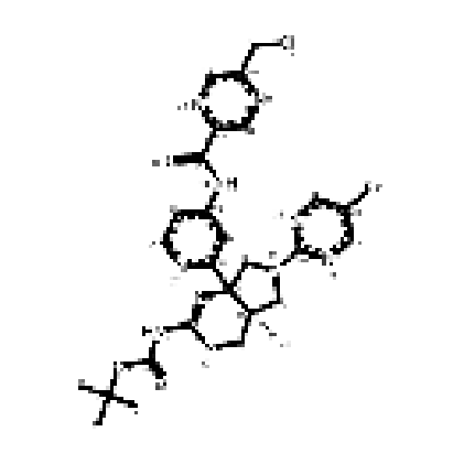 CC(C)(C)OC(=O)NC1=NC2(c3cc(NC(=O)c4cnc(CO)cn4)ccn3)CN(c3ncc(F)cn3)C[C@H]2CS1